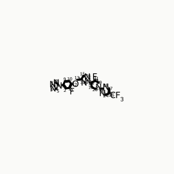 Fc1cc(-n2cnnn2)ccc1OCc1cnn([C@H]2CCN(c3ncc(C(F)(F)F)cn3)C[C@@H]2F)n1